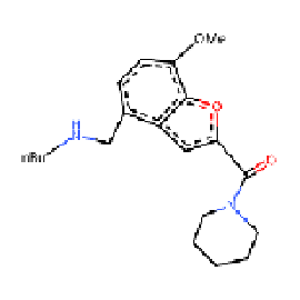 CCCCNCc1ccc(OC)c2oc(C(=O)N3CCCCC3)cc12